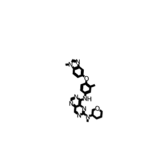 Cc1cc(Nc2ncnc3cnc(N(C)C4CCCOC4)nc23)ccc1Oc1ccc2c(c1)ncn2C